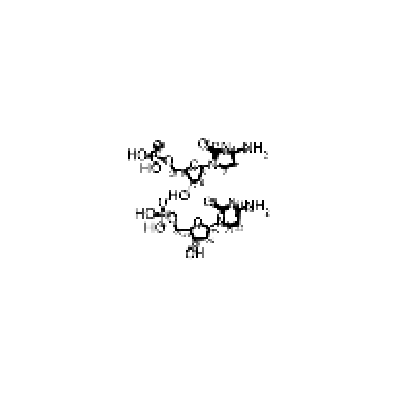 Nc1ccn([C@H]2C[C@H](O)[C@@H](COP(=O)(O)O)O2)c(=O)n1.Nc1ccn([C@H]2C[C@H](O)[C@@H](COP(=O)(O)O)O2)c(=O)n1